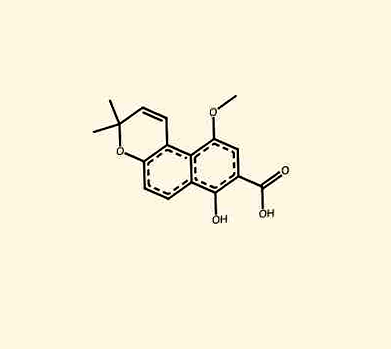 COc1cc(C(=O)O)c(O)c2ccc3c(c12)C=CC(C)(C)O3